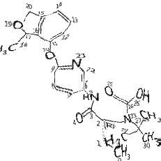 CC[C@H](C(=O)Nc1ccc(Oc2cccc3c2C(C)OC3)nc1)N(C(=O)O)C(C)(C)C